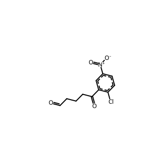 O=CCCCC(=O)c1cc([N+](=O)[O-])ccc1Cl